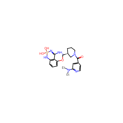 CCN(CC)c1cc(C(=O)N2CCC[C@H](COc3cccc4c3C(N)=NS(O)(O)N4)C2)ccn1